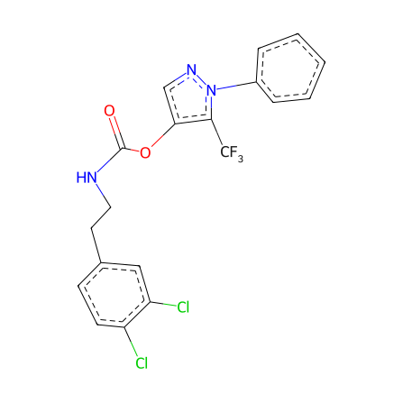 O=C(NCCc1ccc(Cl)c(Cl)c1)Oc1cnn(-c2ccccc2)c1C(F)(F)F